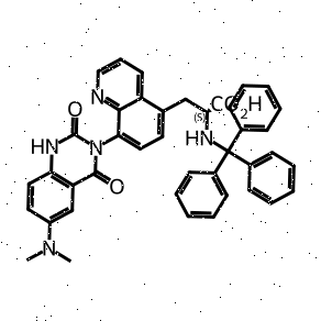 CN(C)c1ccc2[nH]c(=O)n(-c3ccc(C[C@H](NC(c4ccccc4)(c4ccccc4)c4ccccc4)C(=O)O)c4cccnc34)c(=O)c2c1